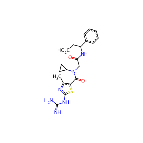 Cc1nc(NC(=N)N)sc1C(=O)N(CC(=O)NC(CC(=O)O)c1ccccc1)C1CC1